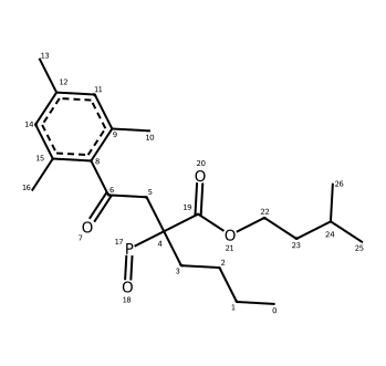 CCCCC(CC(=O)c1c(C)cc(C)cc1C)(P=O)C(=O)OCCC(C)C